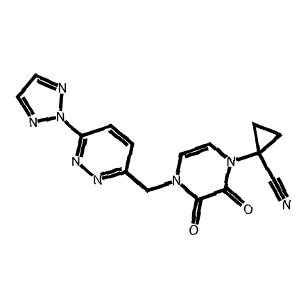 N#CC1(n2ccn(Cc3ccc(-n4nccn4)nn3)c(=O)c2=O)CC1